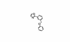 [c]1ccc(COc2ccccc2)cc1-c1ncco1